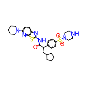 O=C(Nc1nc2ccc(N3CCCCC3)nc2s1)C(CC1CCCC1)c1ccc(S(=O)(=O)N2CCNCC2)cc1